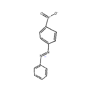 O=[N+]([O-])c1ccc(/N=N/c2ccccc2)cc1